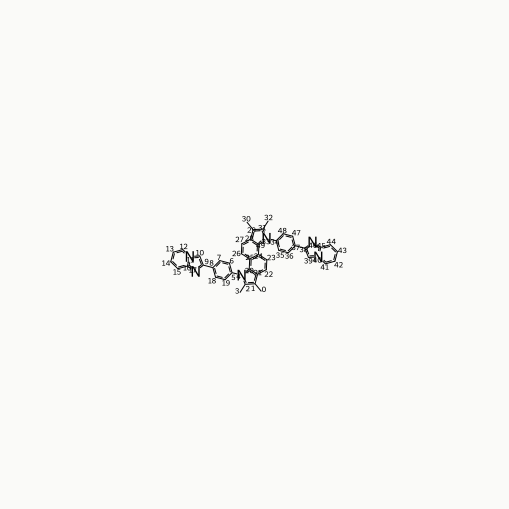 Cc1c(C)n(-c2ccc(-c3cn4ccccc4n3)cc2)c2c1ccc1c2ccc2c(C)c(C)n(-c3ccc(-c4cn5ccccc5n4)cc3)c21